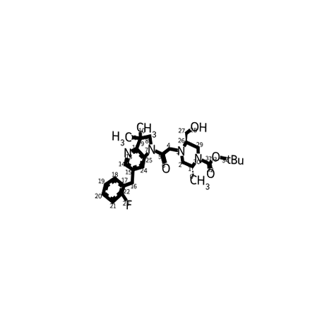 C[C@@H]1CN(CC(=O)N2CC(C)(C)c3ncc(Cc4ccccc4F)cc32)[C@@H](CO)CN1C(=O)OC(C)(C)C